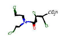 O=C(O)C(Cl)=C(Cl)C(=O)N(CCCl)CCCl